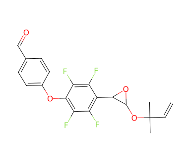 C=CC(C)(C)OC1OC1c1c(F)c(F)c(Oc2ccc(C=O)cc2)c(F)c1F